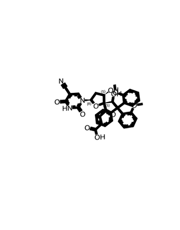 COc1ccccc1C(c1ccccc1)(c1ccccc1OC)C(O)[C@@]1(C(=O)CCC(=O)O)O[C@@H](n2cc(C#N)c(=O)[nH]c2=O)C[C@@H]1O